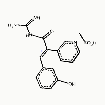 CS(=O)(=O)O.N=C(N)NC(=O)/C(=C/c1cccc(O)c1)c1cccnc1